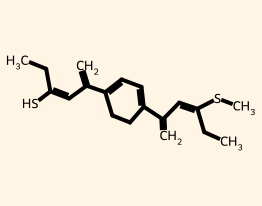 C=C(/C=C(/S)CC)C1=CC=C(C(=C)/C=C(\CC)SC)CC1